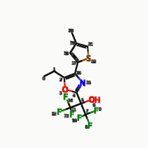 CCc1oc(C(O)(C(F)(F)F)C(F)(F)F)nc1-c1cc(C)cs1